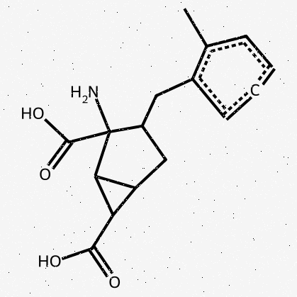 Cc1ccccc1CC1CC2C(C(=O)O)C2C1(N)C(=O)O